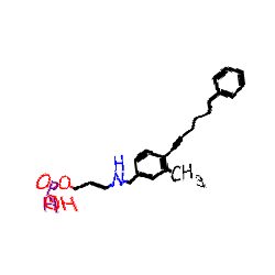 Cc1cc(CNCCCO[PH](=O)O)ccc1C#CCCCCc1ccccc1